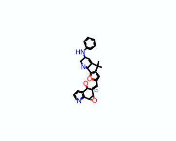 CC1(C)C2=CC(Nc3ccccc3)CN=C2c2oc(/C=C3\C(=O)c4cccnc4C4OC34)cc21